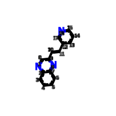 [c]1nc2ccccc2nc1C=Cc1cccnc1